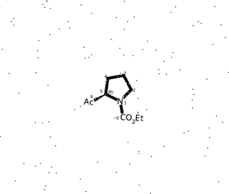 CCOC(=O)N1CCC[C@@H]1C(C)=O